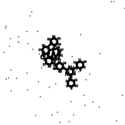 c1ccc(-c2nc(-c3ccccc3)nc(-c3ccc(-c4ccc5oc6ccc7c(c6c5c4)C4(c5ccccc5-7)C5CC6CC(C5)CC4C6)cc3)n2)cc1